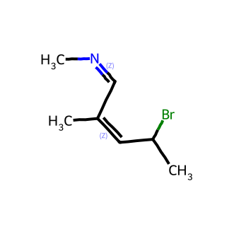 C/N=C\C(C)=C/C(C)Br